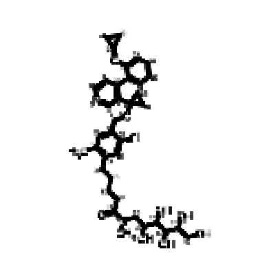 Cc1cc(COC2(c3cnccc3-c3ccccc3OC3CC3)CC2)c(Cl)cc1CCCCC(=O)N(C)CC(O)C(O)C(O)C(O)CO